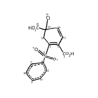 O=C(O)C1=C(S(=O)(=O)c2ccccc2)CC(Cl)(C(=O)O)C=C1